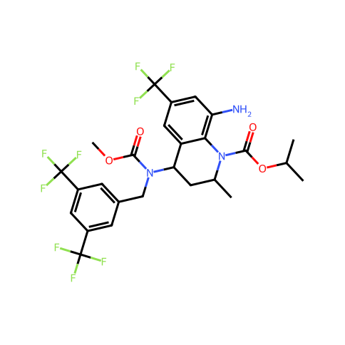 COC(=O)N(Cc1cc(C(F)(F)F)cc(C(F)(F)F)c1)C1CC(C)N(C(=O)OC(C)C)c2c(N)cc(C(F)(F)F)cc21